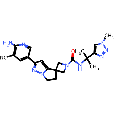 Cn1cc(C(C)(C)NC(=O)N2CC3(CCn4nc(-c5cnc(N)c(C#N)c5)cc43)C2)nn1